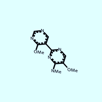 CNc1nc(-c2cncnc2OC)ncc1OC